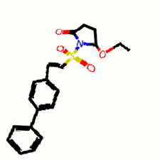 CCOC1CCC(=O)N1S(=O)(=O)C=Cc1ccc(-c2ccccc2)cc1